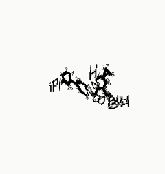 CC(C)c1cccc(C2=CCN(C(=O)C3NCC4(CC4)CC3C(=O)NO)CC2)c1